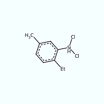 CCc1ccc(C)cc1[SiH](Cl)Cl